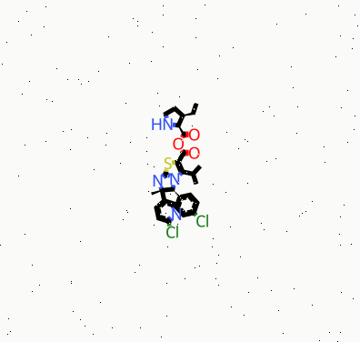 CC[C@@H]1CCN[C@@H]1C(=O)OC(=O)C1=C(C(C)C)N2C(=N[C@@](C)(c3ccc(Cl)nc3)[C@H]2c2ccc(Cl)cc2)S1